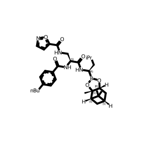 CCCCc1ccc(C(=O)N[C@@H](CNC(=O)c2ccno2)C(=O)N[C@@H](CC(C)C)B2O[C@@H]3C[C@@H]4C[C@@H](C4(C)C)[C@]3(C)O2)cc1